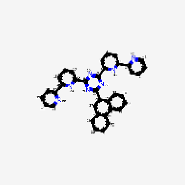 c1ccc(-c2cccc(-c3nc(-c4cccc(-c5ccccn5)n4)nc(-c4cc5ccccc5c5ccccc45)n3)n2)nc1